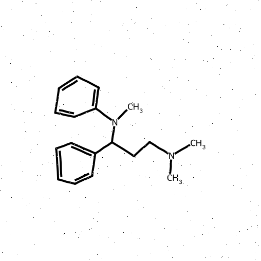 CN(C)CCC(c1ccccc1)N(C)c1ccccc1